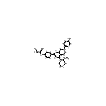 CCNC(=O)Nc1ccc(-c2nc3c(c(N4CCOCC4C)n2)CCN(c2ncc(CC)cn2)C3)cc1